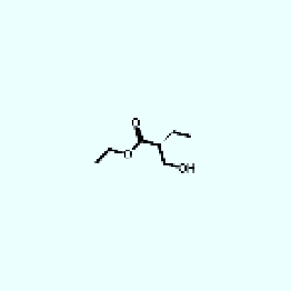 CCOC(=O)[C@H](CC)CO